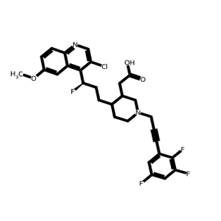 COc1ccc2ncc(Cl)c([C@H](F)CCC3CCN(CC#Cc4cc(F)cc(F)c4F)CC3CC(=O)O)c2c1